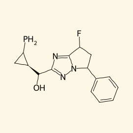 OC(c1nc2n(n1)C(c1ccccc1)CC2F)[C@H]1CC1P